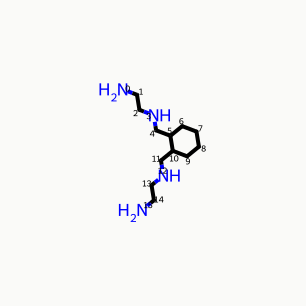 NCCNCC1CCCCC1CNCCN